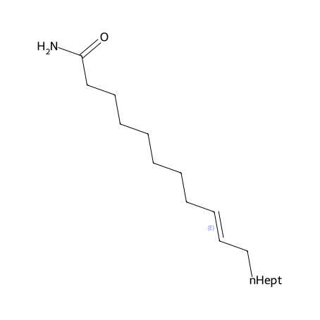 CCCCCCCC/C=C/CCCCCCCC(N)=O